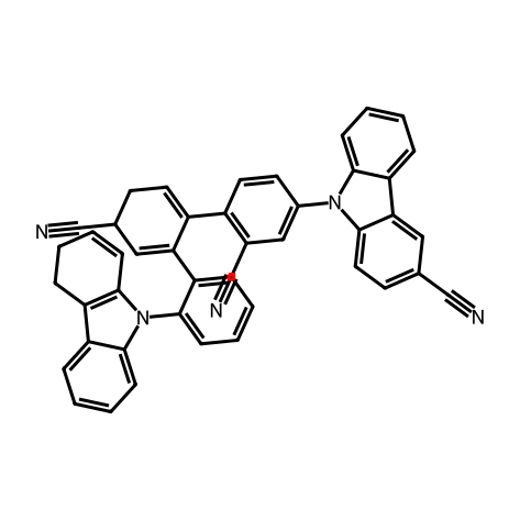 N#Cc1ccc2c(c1)c1ccccc1n2-c1ccc(C2=CCC(C#N)C=C2c2ccccc2-n2c3c(c4ccccc42)CCC=C3)c(C#N)c1